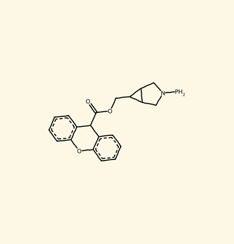 O=C(OCC1C2CN(P)CC12)C1c2ccccc2Oc2ccccc21